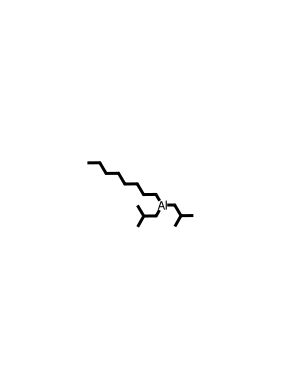 CCCCCCC[CH2][Al]([CH2]C(C)C)[CH2]C(C)C